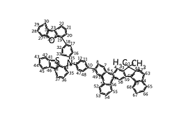 CC1(C)c2cc3c4ccc(-c5ccc(N(c6ccc(-c7cccc8c7oc7ccccc78)cc6)c6cccc7c6sc6ccccc67)cc5)cc4c4ccccc4c3cc2-c2c1ccc1ccccc21